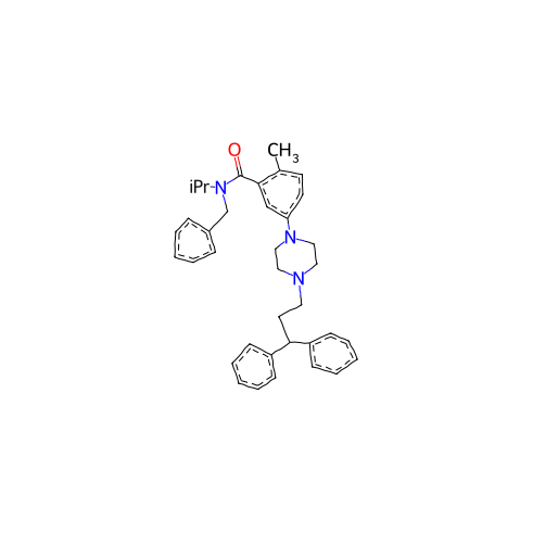 Cc1ccc(N2CCN(CCC(c3ccccc3)c3ccccc3)CC2)cc1C(=O)N(Cc1ccccc1)C(C)C